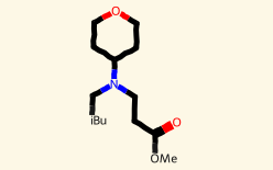 CCC(C)CN(CCC(=O)OC)C1CCOCC1